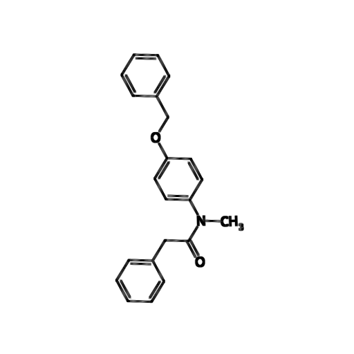 CN(C(=O)Cc1ccccc1)c1ccc(OCc2ccccc2)cc1